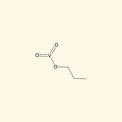 CCC[O][V](=[O])=[O]